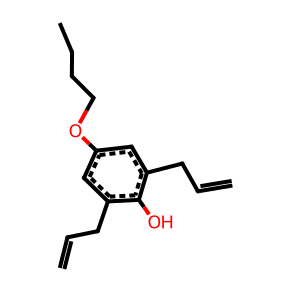 C=CCc1cc(OCCCC)cc(CC=C)c1O